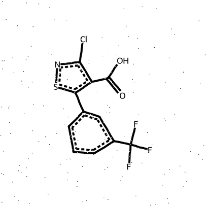 O=C(O)c1c(Cl)nsc1-c1cccc(C(F)(F)F)c1